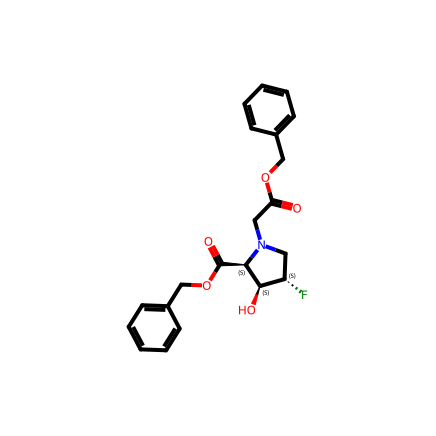 O=C(CN1C[C@H](F)[C@@H](O)[C@H]1C(=O)OCc1ccccc1)OCc1ccccc1